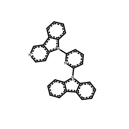 c1cc(-n2c3ccccc3c3ccccc32)nc(-n2c3ccccc3c3cnccc32)c1